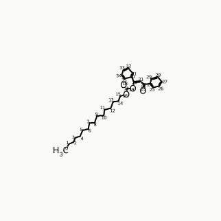 CCCCCCCCCCCCCCCCOC(=O)OC(=CC(=O)c1ccccc1)c1ccccc1